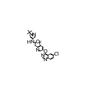 CC(C)(C)n1cc(NC(=O)Cc2ncc(Oc3ncnc4ccc(Cl)cc34)cc2F)cn1